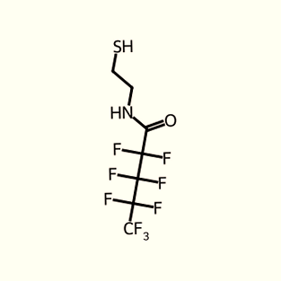 O=C(NCCS)C(F)(F)C(F)(F)C(F)(F)C(F)(F)F